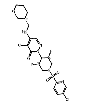 O=c1c(Cl)c(NC[C@H]2CCCOC2)cnn1C1[C@@H](F)CN(S(=O)(=O)c2ccc(Cl)cn2)C[C@@H]1F